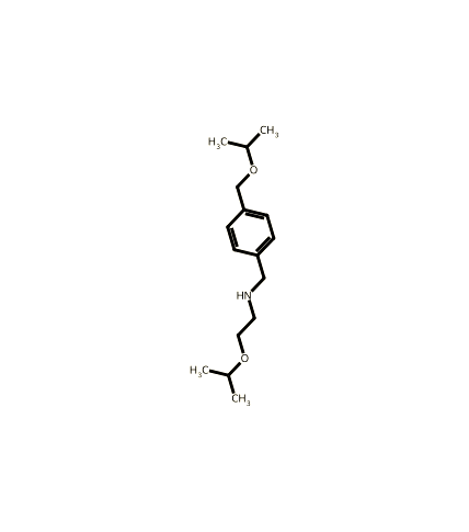 CC(C)OCCNCc1ccc(COC(C)C)cc1